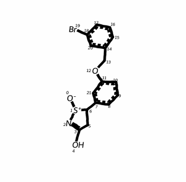 [O-][S+]1N=C(O)CC1c1cccc(OCc2cccc(Br)c2)c1